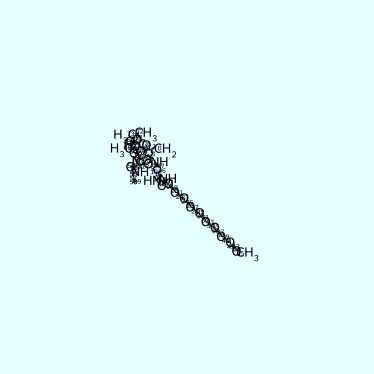 C=Cc1cc(C(=O)Nc2ccc(C(=N)NC(=O)OCCOCCOCCOCCOCCOCCOCCOCCOCCOC)cc2)c(-c2ccc(C(=O)NCC3CC3)nc2C(=O)OC(C)OC(=O)OC(C)C)cc1OC